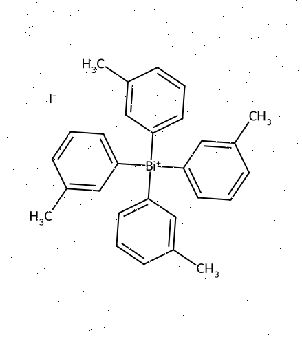 Cc1ccc[c]([Bi+]([c]2cccc(C)c2)([c]2cccc(C)c2)[c]2cccc(C)c2)c1.[I-]